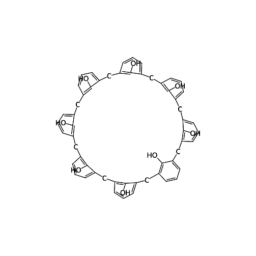 Oc1c2cccc1Cc1cccc(c1O)Cc1cccc(c1O)Cc1cccc(c1O)Cc1cccc(c1O)Cc1cccc(c1O)Cc1cccc(c1O)Cc1cccc(c1O)C2